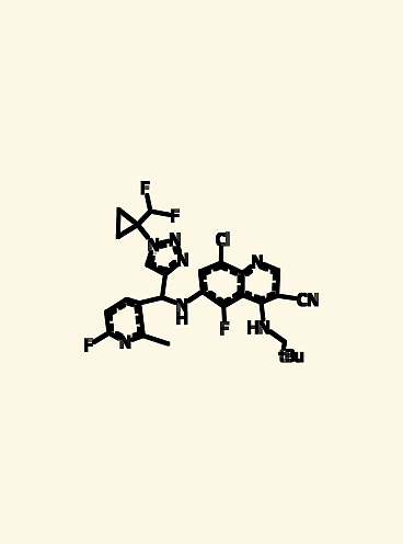 Cc1nc(F)ccc1C(Nc1cc(Cl)c2ncc(C#N)c(NCC(C)(C)C)c2c1F)c1cn(C2(C(F)F)CC2)nn1